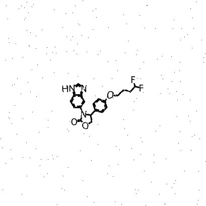 O=C1OCC(c2ccc(OCCCC(F)F)cc2)N1c1ccc2[nH]cnc2c1